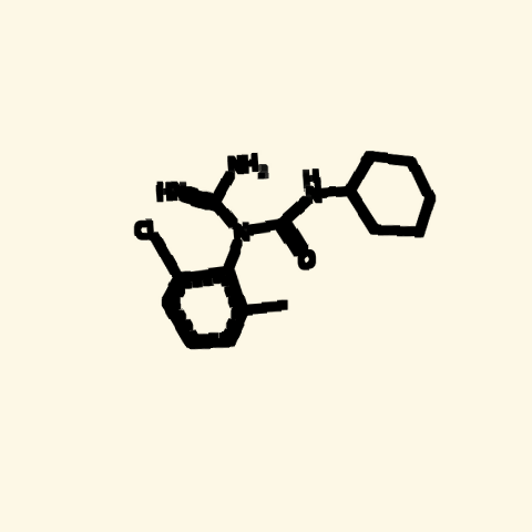 Cc1cccc(Cl)c1N(C(=N)N)C(=O)NC1CCCCC1